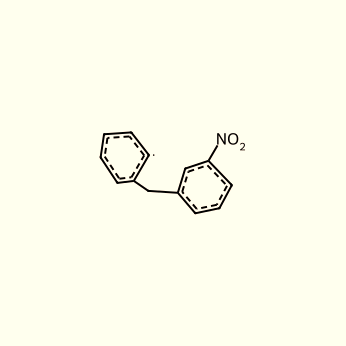 O=[N+]([O-])c1cccc(Cc2[c]cccc2)c1